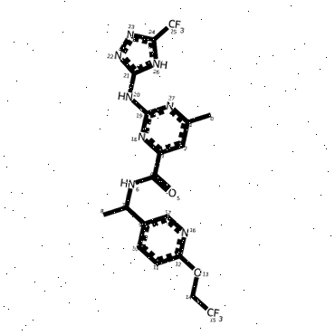 Cc1cc(C(=O)NC(C)c2ccc(OCC(F)(F)F)nc2)nc(Nc2nnc(C(F)(F)F)[nH]2)n1